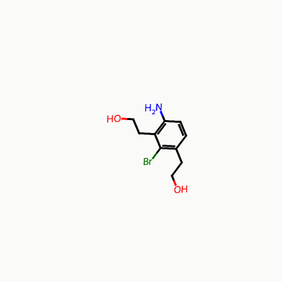 Nc1ccc(CCO)c(Br)c1CCO